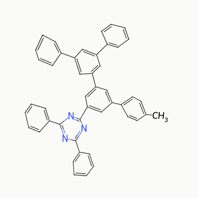 Cc1ccc(-c2cc(-c3cc(-c4ccccc4)cc(-c4ccccc4)c3)cc(-c3nc(-c4ccccc4)nc(-c4ccccc4)n3)c2)cc1